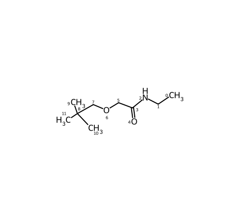 CCNC(=O)COCC(C)(C)C